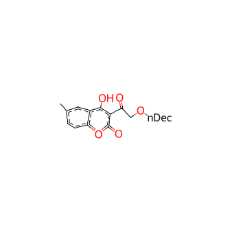 CCCCCCCCCCOCC(=O)c1c(O)c2cc(C)ccc2oc1=O